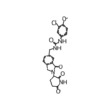 COc1ccc(NC(=O)NCc2ccc3c(c2)C(=O)N(C2CCC(=O)NC2=O)C3)cc1Cl